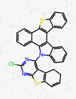 Clc1nc(-n2c3ccccc3c3c4c5ccccc5sc4c4ccccc4c32)c2c3c(sc2n1)C=CCC3